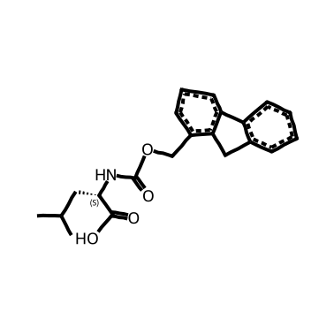 CC(C)C[C@H](NC(=O)OCc1cccc2c1Cc1ccccc1-2)C(=O)O